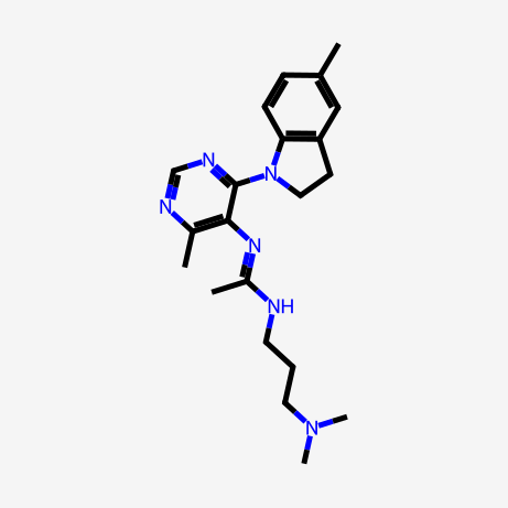 C/C(=N\c1c(C)ncnc1N1CCc2cc(C)ccc21)NCCCN(C)C